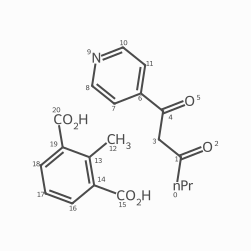 CCCC(=O)CC(=O)c1ccncc1.Cc1c(C(=O)O)cccc1C(=O)O